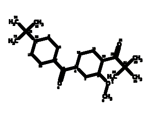 COC1CN(C(=O)C2CCN(C(C)(C)C)CC2)CCC1C(=O)C(C)(C)C